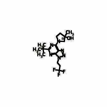 CC(C)(C)c1nc(N2CC[C@](C)(O)C2)c2nnn(CCC(F)(F)F)c2n1